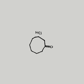 Cl.O=C1CCCCCCC1